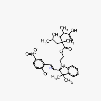 CC(C)CC(C)(CC(C)C(=O)O)C(=O)OCC[N+]1=C(/C=C/c2cc([N+](=O)[O-])ccc2[O-])C(C)(C)c2ccccc21